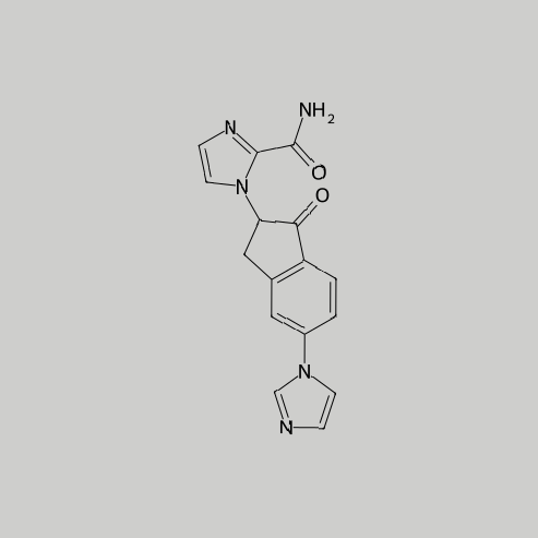 NC(=O)c1nccn1C1Cc2cc(-n3ccnc3)ccc2C1=O